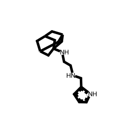 c1c[nH]c(CNCCNC23CC4CC(CC(C4)C2)C3)c1